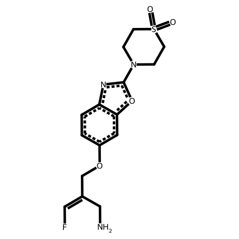 NC/C(=C\F)COc1ccc2nc(N3CCS(=O)(=O)CC3)oc2c1